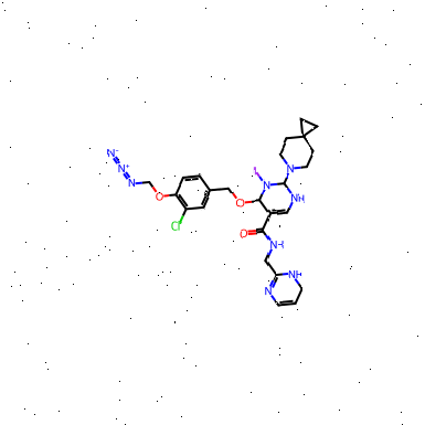 [N-]=[N+]=NCOc1ccc(COC2C(C(=O)NCC3=NC=CCN3)=CNC(N3CCC4(CC3)CC4)N2I)cc1Cl